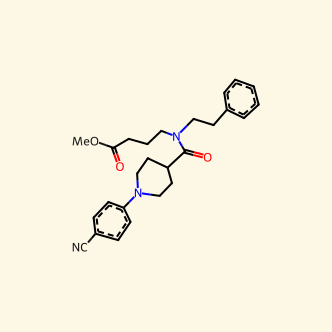 COC(=O)CCCN(CCc1ccccc1)C(=O)C1CCN(c2ccc(C#N)cc2)CC1